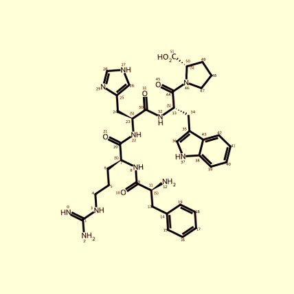 N=C(N)NCCC[C@H](NC(=O)[C@@H](N)Cc1ccccc1)C(=O)N[C@@H](Cc1c[nH]cn1)C(=O)N[C@@H](Cc1c[nH]c2ccccc12)C(=O)N1CCC[C@H]1C(=O)O